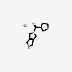 Cl.O=C(C1CCOC1)N1CC2=C(CNC2)C1